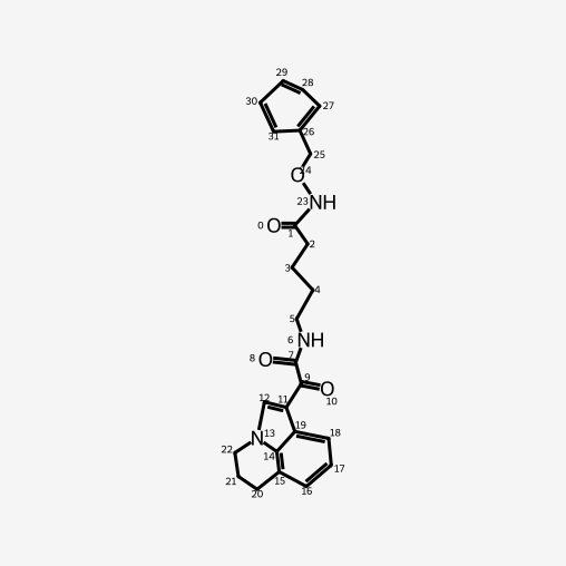 O=C(CCCCNC(=O)C(=O)c1cn2c3c(cccc13)CCC2)NOCc1ccccc1